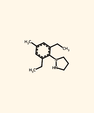 CCc1cc(C)cc(CC)c1N1CCCN1